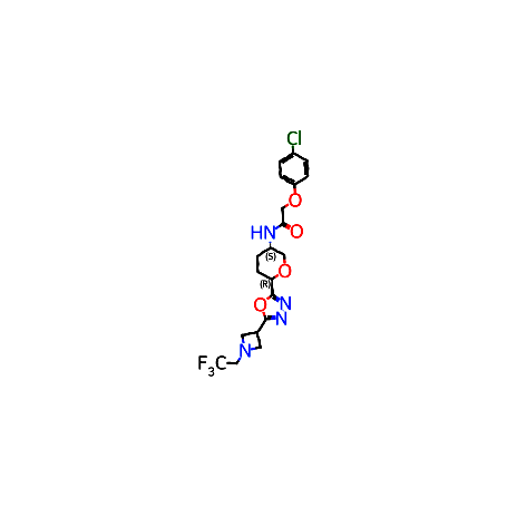 O=C(COc1ccc(Cl)cc1)N[C@H]1CC[C@H](c2nnc(C3CN(CC(F)(F)F)C3)o2)OC1